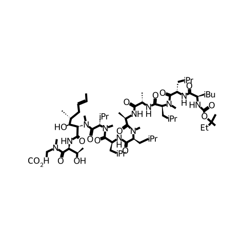 CC=CC[C@@H](C)[C@@H](O)[C@@H](C(=O)N[C@H](C(=O)N(C)CC(=O)O)[C@@H](C)O)N(C)C(=O)[C@H](C(C)C)N(C)C(=O)[C@H](CC(C)C)NC(=O)[C@H](CC(C)C)N(C)C(=O)[C@@H](C)NC(=O)[C@H](C)NC(=O)[C@H](CC(C)C)N(C)C(=O)[C@H](CC(C)C)NC(=O)[C@H](NC(=O)OC(C)(C)CC)C(C)CC